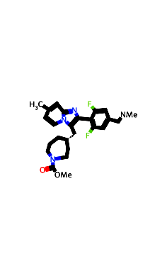 CNCc1cc(F)c(-c2nc3cc(C)ccn3c2C[C@H]2CCCN(C(=O)OC)CC2)c(F)c1